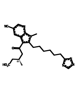 C[C@H](CC(=O)O)CC(=O)c1c(CCCCCCc2nncs2)n(C)c2ncc(C#N)cc12